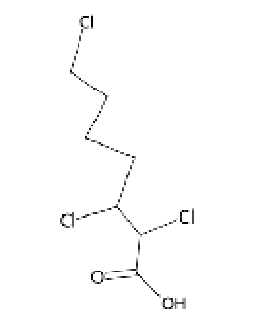 O=C(O)C(Cl)C(Cl)CCCCCl